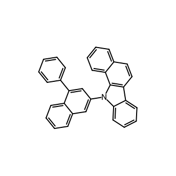 c1ccc(-c2cc(-n3c4ccccc4c4ccc5ccccc5c43)cc3ccccc23)cc1